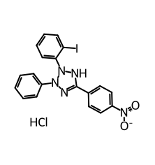 Cl.O=[N+]([O-])c1ccc(C2=NN(c3ccccc3)N(c3ccccc3I)N2)cc1